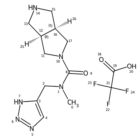 CN(Cc1cnn[nH]1)C(=O)N1C[C@H]2CNC[C@H]2C1.O=C(O)C(F)(F)F